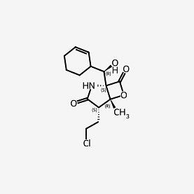 C[C@]12OC(=O)[C@@]1([C@H](O)C1C=CCCC1)NC(=O)[C@H]2CCCl